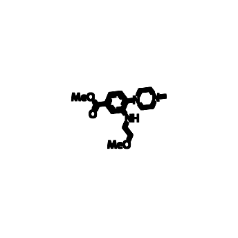 COCCNc1cc(C(=O)OC)ccc1N1CCN(C)CC1